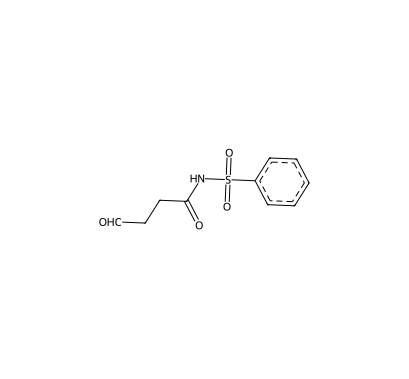 O=CCCC(=O)NS(=O)(=O)c1ccccc1